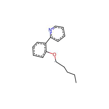 CCCC[CH]Oc1ccccc1-c1ccccn1